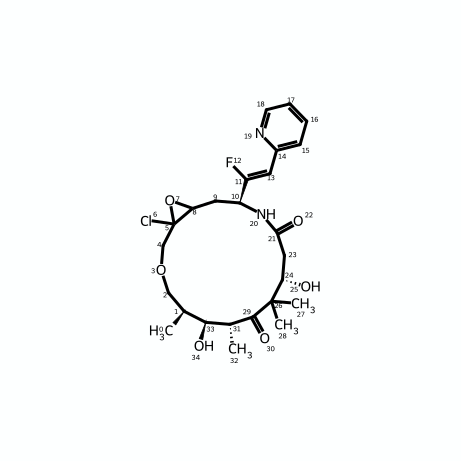 C[C@H]1COCC2(Cl)OC2C[C@@H](/C(F)=C/c2ccccn2)NC(=O)C[C@H](O)C(C)(C)C(=O)[C@H](C)[C@H]1O